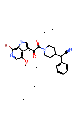 COc1cnc(Br)c2[nH]cc(C(=O)C(=O)N3CCC(C(C#N)c4ccccc4)CC3)c12